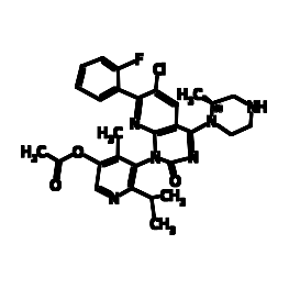 CC(=O)Oc1cnc(C(C)C)c(-n2c(=O)nc(N3CCNC[C@@H]3C)c3cc(Cl)c(-c4ccccc4F)nc32)c1C